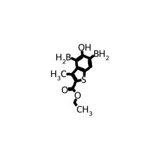 Bc1cc2sc(C(=O)OCC)c(C)c2c(B)c1O